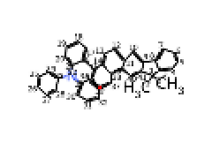 CC1(C)c2ccccc2-c2cc3ccc4c(-c5ccccc5N(c5ccccc5)c5ccccc5)cccc4c3cc21